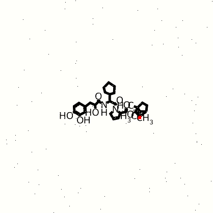 CC1(C)C2CCC1(C)[C@H](OC(=O)C1C=CCN1C(=O)C(NC(=O)C(O)Cc1ccc(O)c(O)c1)C1CCCCC1)C2